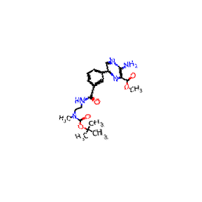 COC(=O)c1nc(-c2cccc(C(=O)NCCN(C)C(=O)OC(C)(C)C)c2)cnc1N